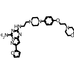 Nc1nc(NCCN2CCN(c3ccc(OCCN4CCOCC4)cc3)CC2)nc2cc(-c3ccco3)nn12